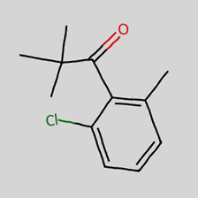 Cc1cccc(Cl)c1C(=O)C(C)(C)C